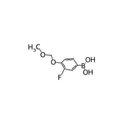 COCOc1ccc(B(O)O)cc1F